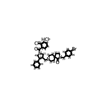 Cl.O=C(c1ccccc1Cl)N1CC(CN2CCC3(CC2)CCN(Cc2ccc(Br)cc2)C3=O)C(c2ccccc2)C1